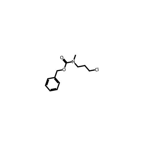 CN(CCCCl)C(=O)OCc1ccccc1